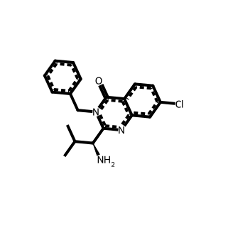 CC(C)[C@H](N)c1nc2cc(Cl)ccc2c(=O)n1Cc1ccccc1